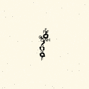 O=[N+]([O-])c1cc(C(F)(F)F)ccc1NCCCN1CCN(c2ccc(F)cc2)CC1